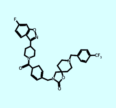 O=C1OC2(CCN(Cc3ccc(C(F)(F)F)cc3)CC2)CN1CC1=CCC(C(=O)N2CCC(c3noc4cc(F)ccc34)CC2)C=C1